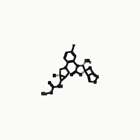 C[C@H]1N(c2cc(F)ccc2N2CC3C(NC(=O)OC(C)(C)C)[C@H]3C2)C(=O)O[C@@]12Oc1nocc12